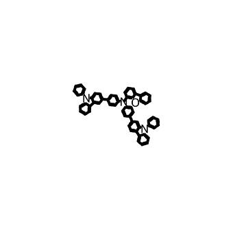 c1ccc(-n2c3ccccc3c3cc(-c4ccc(N(c5ccc(-c6ccc7c8ccccc8n(-c8ccccc8)c7c6)cc5)c5cccc6c5oc5ccccc56)cc4)ccc32)cc1